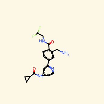 NCc1cc(-c2cc(NC(=O)C3CC3)ccn2)ccc1C(=O)NCC(F)F